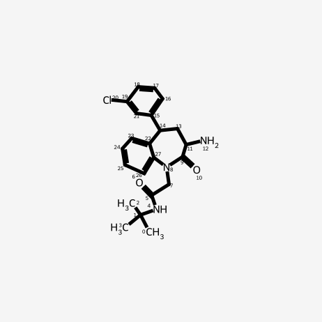 CC(C)(C)NC(=O)CN1C(=O)C(N)CC(c2cccc(Cl)c2)c2ccccc21